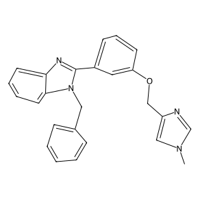 Cn1cnc(COc2cccc(-c3nc4ccccc4n3Cc3ccccc3)c2)c1